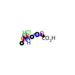 CC(C)(CC(=O)N1CCCN(c2ccc(NC(=O)c3nc(-c4ccccc4)oc3C(F)(F)F)cc2)CC1)C(=O)O.Cl